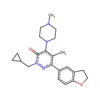 Cc1c(-c2ccc3c(c2)CCO3)nn(CC2CC2)c(=O)c1N1CCN(C)CC1